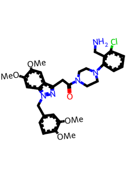 COc1ccc(Cn2nc(CC(=O)N3CCN(c4cccc(Cl)c4CN)CC3)c3cc(OC)c(OC)cc32)cc1OC